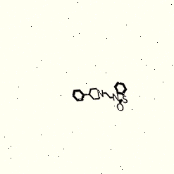 O=c1sc2ccccc2n1CCN1CCC(c2ccccc2)CC1